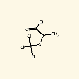 CN(SC(Cl)(Cl)Cl)C(=O)Cl